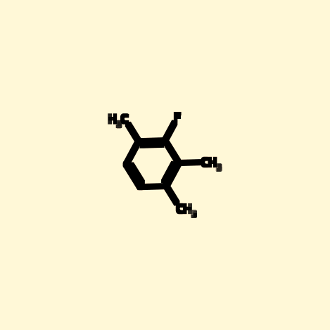 Cc1ccc(C)c(F)c1C